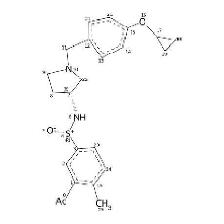 CC(=O)c1cc([S@+]([O-])N[C@@H]2CCN(Cc3ccc(OC4CC4)cc3)C2)ccc1C